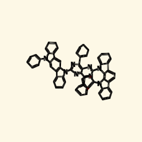 C1=CCCC(n2c3ccccc3c3ccc4c5ccccc5n(-c5nc(-c6ccccc6)c6nc(-n7c8ccccc8c8cc9c(cc87)c7ccccc7n9-c7ccccc7)nc(C7=CCCC=C7)c6n5)c4c32)=C1